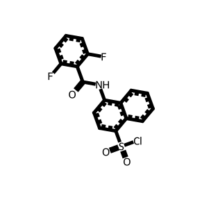 O=C(Nc1ccc(S(=O)(=O)Cl)c2ccccc12)c1c(F)cccc1F